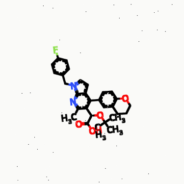 Cc1nc2c(ccn2Cc2ccc(F)cc2)c(-c2ccc3c(c2)CCCO3)c1[C@@H](OC(C)(C)C)C(=O)O